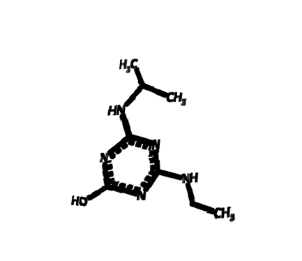 CCNc1nc(O)nc(NC(C)C)n1